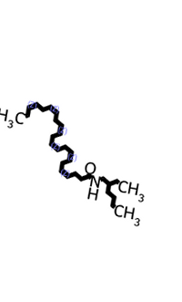 CC/C=C\C/C=C\C/C=C\C/C=C\C/C=C\C/C=C\CCC(=O)NCC(CC)CCCC